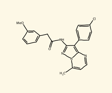 COc1cccc(CC(=O)Nc2nn3c(C)ccnc3c2-c2ccc(Cl)cc2)c1